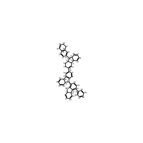 C1=CC2Sc3c(N4c5ccc(C6=CC7C8C=CC=CC8N(c8ccc9c(c8)CCC=C9)C7CC6)cc5C5C=CC=CC54)ccc(-c4ccccc4)c3C2C=C1